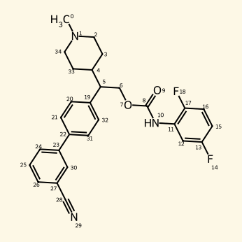 CN1CCC(C(COC(=O)Nc2cc(F)ccc2F)c2ccc(-c3cccc(C#N)c3)cc2)CC1